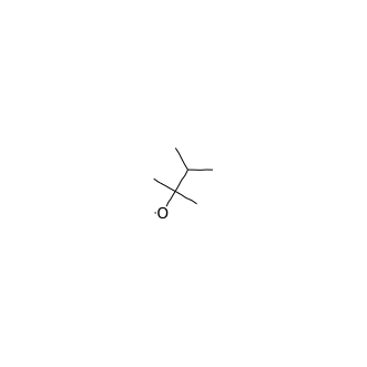 CC(C)C(C)(C)[O]